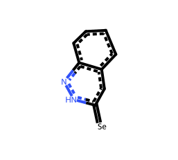 [Se]=c1cc2ccccc2n[nH]1